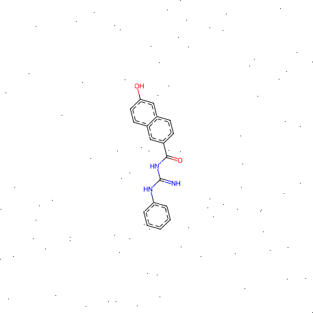 N=C(NC(=O)c1ccc2cc(O)ccc2c1)Nc1ccccc1